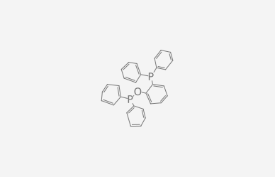 c1ccc(P(Oc2ccccc2P(c2ccccc2)c2ccccc2)c2ccccc2)cc1